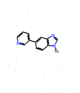 [2H]n1cnc2cc(-c3cccnc3)ccc21